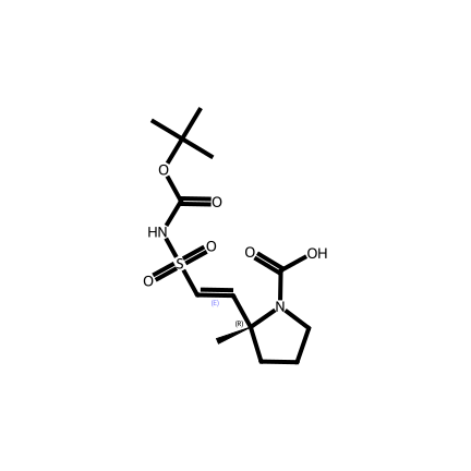 CC(C)(C)OC(=O)NS(=O)(=O)/C=C/[C@@]1(C)CCCN1C(=O)O